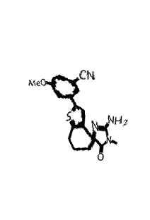 COc1cc(C#N)cc(-c2cc3c(s2)CCCC32N=C(N)N(C)C2=O)c1